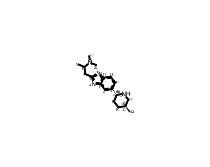 CC(Cc1nc2cc([C@H]3CC[C@H](C)CN3)ccc2s1)N(C)C